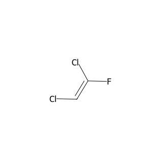 FC(Cl)=CCl